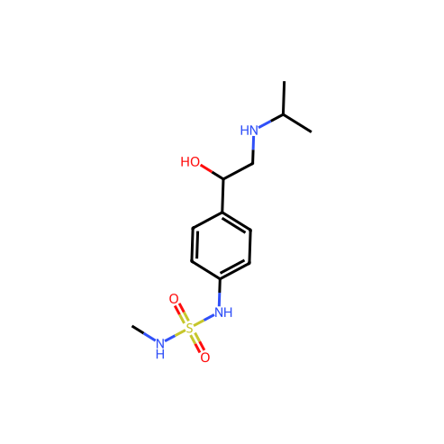 CNS(=O)(=O)Nc1ccc(C(O)CNC(C)C)cc1